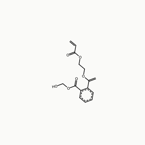 C=CC(=O)OCCOC(=C)c1ccccc1C(=O)OCO